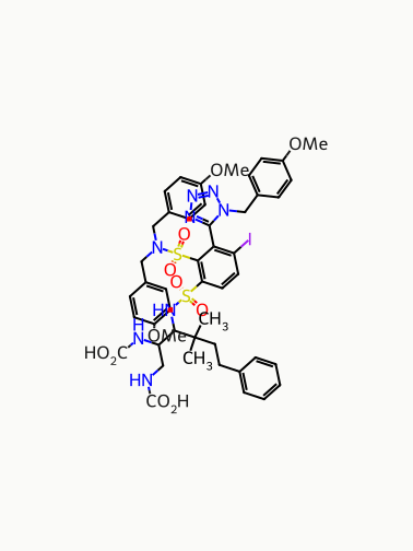 COc1ccc(CN(Cc2ccc(OC)cc2)S(=O)(=O)c2c(S(=O)(=O)NC(C(CNC(=O)O)NC(=O)O)C(C)(C)CCc3ccccc3)ccc(I)c2-c2nnnn2Cc2ccc(OC)cc2)cc1